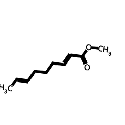 CC=CCCCC=CC(=O)OC